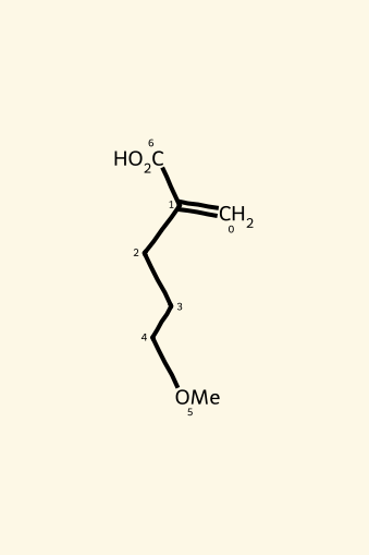 C=C(CCCOC)C(=O)O